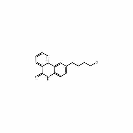 O=c1[nH]c2ccc(CCCCCl)cc2c2ccccc12